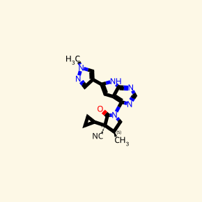 C[C@@H]1CN(c2ncnc3[nH]c(-c4cnn(C)c4)cc23)C(=O)[C@]1(C#N)C1CC1